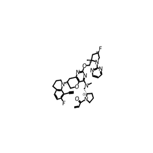 C#Cc1c(F)ccc2c1N([C@@H]1COc3c(nc(OC[C@]4(C)C[C@@H](F)CN4c4ncccn4)nc3N(C)C[C@@H]3CCCN3C(=O)C=C)C1)CCC2